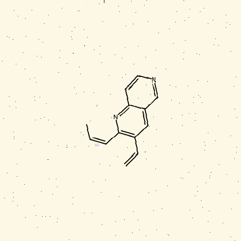 C=Cc1cc2cnccc2nc1/C=C\C